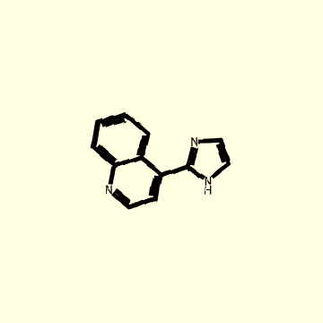 c1ccc2c(-c3ncc[nH]3)ccnc2c1